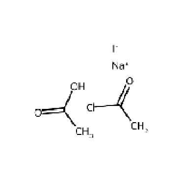 CC(=O)Cl.CC(=O)O.[I-].[Na+]